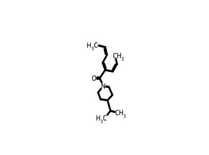 C\C=C/C=C(\C=C/C)C(=O)N1CCC(C(C)C)CC1